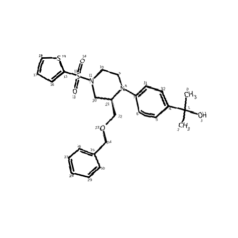 CC(C)(O)c1ccc(N2CCN(S(=O)(=O)c3cccs3)C[C@@H]2COCc2ccccc2)cc1